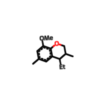 CCC1c2cc(C)cc(OC)c2OCC1C